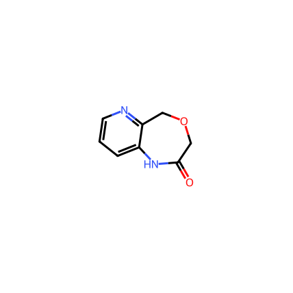 O=C1COCc2ncccc2N1